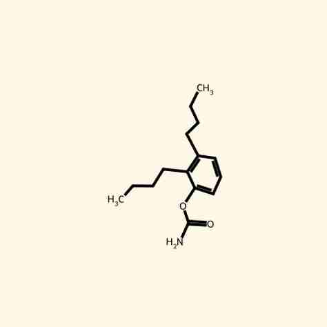 CCCCc1cccc(OC(N)=O)c1CCCC